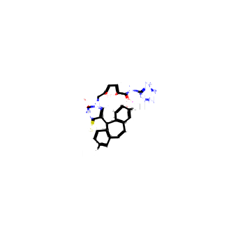 Cc1ccc2c(c1)C=Cc1cc(C)ccc1C2c1cn(Cc2ccc(C(=O)Nc3nnn[nH]3)o2)c(=O)[nH]c1=S